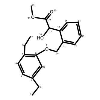 CCc1ccc(CC)c(OCc2ccccc2C(O)C(=O)OC)c1